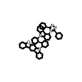 c1ccc(-c2nnc(-c3ccccc3)n2-c2cccc3c2c2ccccc2n3-c2ccccc2-c2ccccc2-n2c3ccccc3c3cc4c(cc32)oc2ccccc24)cc1